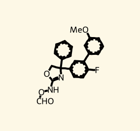 COc1cccc(-c2cc(C3(c4ccccc4)COC(NOC=O)=N3)ccc2F)c1